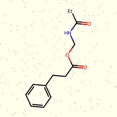 CCC(=O)NCOC(=O)CCc1ccccc1